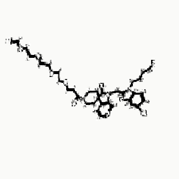 O=C(CCOCCOCCOCCOCI)N1CCC2(CC1)C(=O)N(Cc1nc3cc(Cl)ccc3n1CCCCF)c1cnccc12